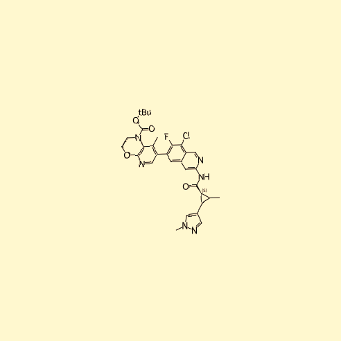 Cc1c(-c2cc3cc(NC(=O)[C@H]4C(C)C4c4cnn(C)c4)ncc3c(Cl)c2F)cnc2c1N(C(=O)OC(C)(C)C)CCO2